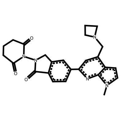 Cn1ccc2c(CN3CCC3)cc(-c3ccc4c(c3)CN(N3C(=O)CCCC3=O)C4=O)nc21